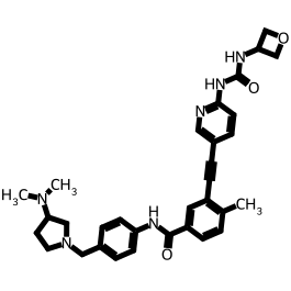 Cc1ccc(C(=O)Nc2ccc(CN3CCC(N(C)C)C3)cc2)cc1C#Cc1ccc(NC(=O)NC2COC2)nc1